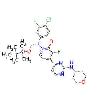 CC(C)(C)[Si](C)(C)OC[C@H](c1ccc(Cl)c(F)c1)n1ccc(-c2ccnc(NC3CCOCC3)n2)c(F)c1=O